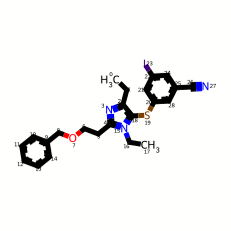 CCc1nc(CCOCc2ccccc2)n(CC)c1Sc1cc(I)cc(C#N)c1